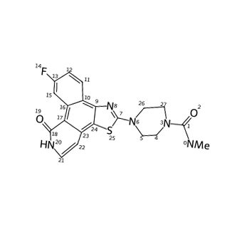 CNC(=O)N1CCN(c2nc3c4ccc(F)cc4c4c(=O)[nH]ccc4c3s2)CC1